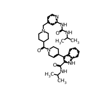 CC(C)NC(=O)Nc1cc(CN2CCC(C(=O)N3CC=C(c4c(C(=O)NC(C)C)[nH]c5ccccc45)CC3)CC2)ccn1